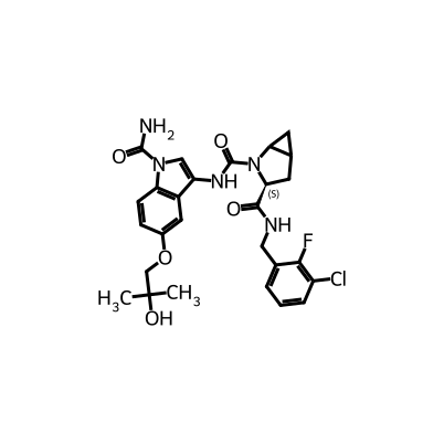 CC(C)(O)COc1ccc2c(c1)c(NC(=O)N1C3CC3C[C@H]1C(=O)NCc1cccc(Cl)c1F)cn2C(N)=O